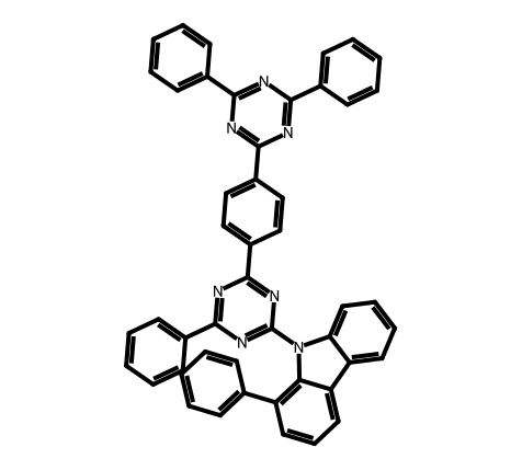 c1ccc(-c2nc(-c3ccccc3)nc(-c3ccc(-c4nc(-c5ccccc5)nc(-n5c6ccccc6c6cccc(-c7ccccc7)c65)n4)cc3)n2)cc1